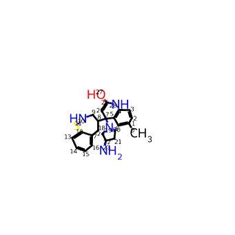 Cc1ccc2c(c1)C(C1CNSc3ccccc3C1)(N1CCC(N)C1)C=C(O)N2